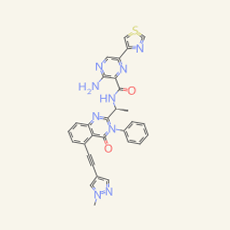 C[C@H](NC(=O)c1nc(-c2cscn2)cnc1N)c1nc2cccc(C#Cc3cnn(C)c3)c2c(=O)n1-c1ccccc1